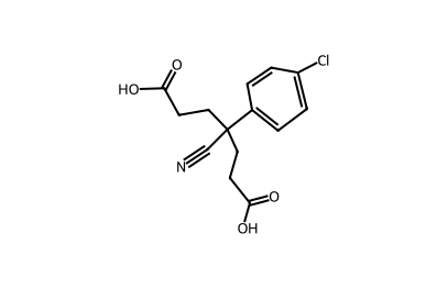 N#CC(CCC(=O)O)(CCC(=O)O)c1ccc(Cl)cc1